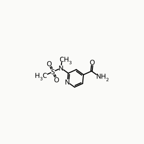 CN(c1cc(C(N)=O)ccn1)S(C)(=O)=O